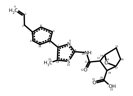 C=CCc1ccc(-c2nc(NC(=O)C3C4CCC(O4)C3C(=O)O)sc2C)cc1